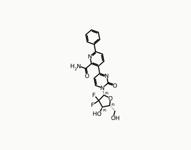 NC(=O)c1nc(-c2ccccc2)ccc1-c1ccn([C@@H]2O[C@H](CO)[C@@H](O)C2(F)F)c(=O)n1